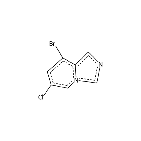 Clc1cc(Br)c2cncn2c1